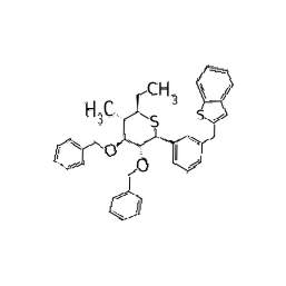 CC[C@H]1S[C@@H](c2cccc(Cc3cc4ccccc4s3)c2)[C@H](OCc2ccccc2)[C@@H](OCc2ccccc2)[C@@H]1C